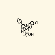 CC(C)[C@H](CO)Nc1nc(=O)n(Cc2ccc(Cl)cc2)c2cc(N3CCOCC3)cnc12